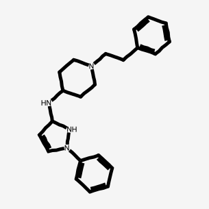 C1=CN(c2ccccc2)NC1NC1CCN(CCc2ccccc2)CC1